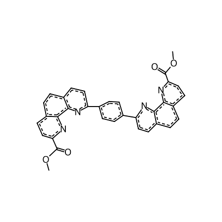 COC(=O)c1ccc2ccc3ccc(-c4ccc(-c5ccc6ccc7ccc(C(=O)OC)nc7c6n5)cc4)nc3c2n1